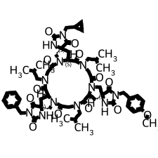 COc1ccc(CN2C(=O)N[C@]3(C[C@H]4C(=O)N(CC(C)C)CC(=O)N5C[C@]6(C[C@H]5C(=O)N(CC(C)C)CC(=O)N5C[C@]7(C[C@H]5C(=O)N(CC(C)C)CC(=O)N4C3)NC(=O)N(CC3CC3)C7=O)NC(=O)N(Cc3ccccc3)C6=O)C2=O)cc1